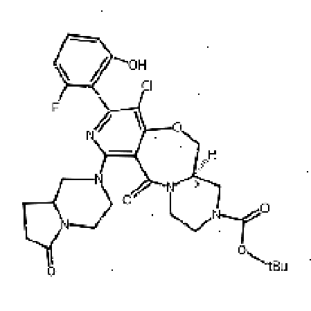 CC(C)(C)OC(=O)N1CCN2C(=O)c3c(N4CCN5C(=O)CCC5C4)nc(-c4c(O)cccc4F)c(Cl)c3OC[C@H]2C1